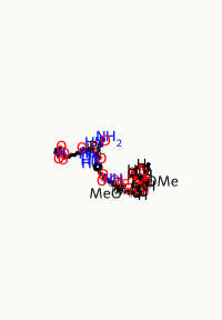 C=C1C[C@@H]2CC([C@]34C[C@@H](OC)[C@H](O3)C3C[C@@H](O4)[C@H]4O[C@@H](CC(=O)C[C@@H]5[C@@H](OC)[C@@H](C[C@H](O)CNC(=O)OCc6ccc(NC(=O)[C@H](CCCNC(N)=O)NC(=O)[C@@H](NC(=O)CCCCCC(=O)ON7C(=O)CCC7=O)C(C)C)cc6)O[C@H]5C)CC[C@@H]4O3)[C@@H]3C[C@H](CC[C@@H]1O2)O[C@H](C)C3=C